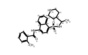 Cc1ccccc1C(=O)Nc1ccc(S(=O)(=O)NC(C)C2CCNCC2)c2ccccc12